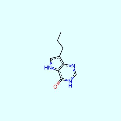 CCCc1c[nH]c2c(=O)[nH]cnc12